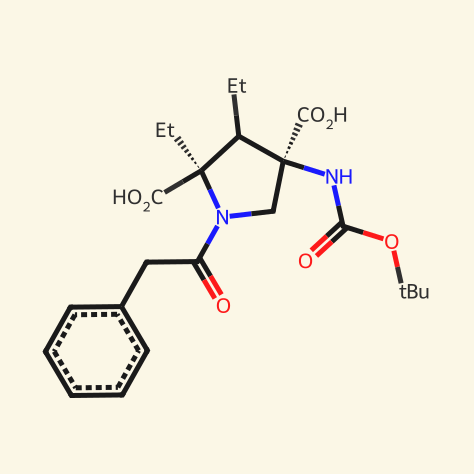 CCC1[C@](CC)(C(=O)O)N(C(=O)Cc2ccccc2)C[C@@]1(NC(=O)OC(C)(C)C)C(=O)O